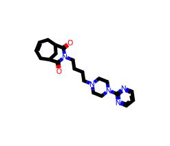 O=C1C2CC=CCC(C2)C(=O)N1CCCCN1CCN(c2ncccn2)CC1